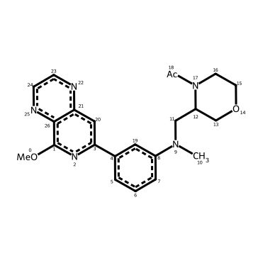 COc1nc(-c2cccc(N(C)CC3COCCN3C(C)=O)c2)cc2nccnc12